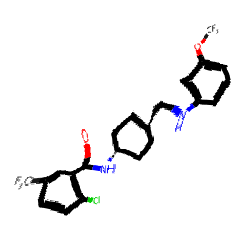 O=C(N[C@H]1CC[C@H](CNc2cccc(OC(F)(F)F)c2)CC1)c1cc(C(F)(F)F)ccc1Cl